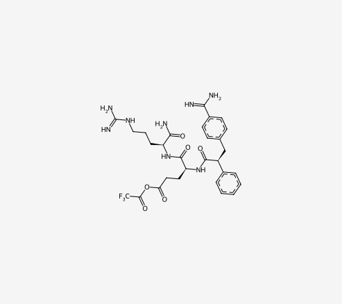 N=C(N)NCCC[C@H](NC(=O)[C@H](CCC(=O)OC(=O)C(F)(F)F)NC(=O)[C@@H](Cc1ccc(C(=N)N)cc1)c1ccccc1)C(N)=O